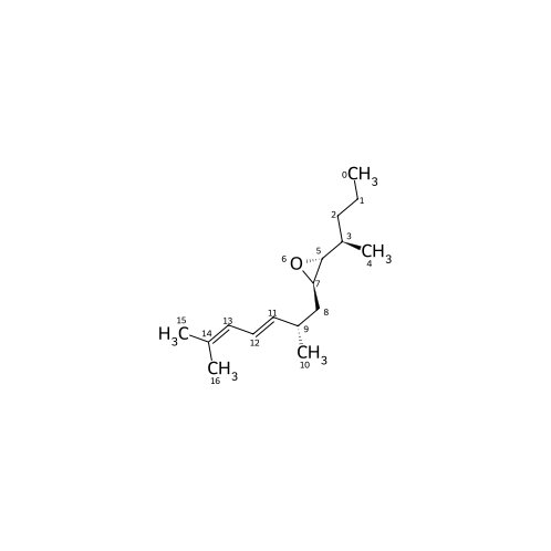 CCC[C@@H](C)[C@H]1O[C@@H]1C[C@H](C)/C=C/C=C(C)C